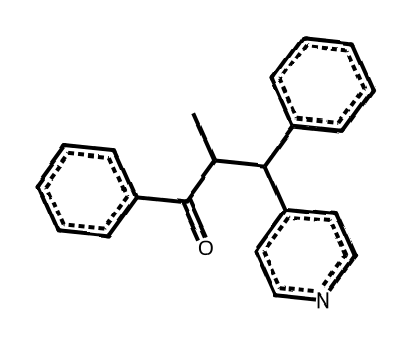 CC(C(=O)c1ccccc1)C(c1ccccc1)c1ccncc1